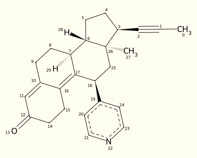 CC#C[C@@H]1CC[C@H]2[C@@H]3CCC4=CC(=O)CCC4=C3[C@H](c3ccncc3)C[C@]12C